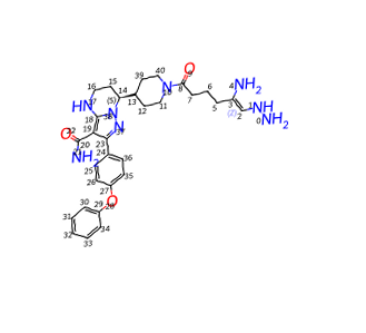 NN/C=C(\N)CCCC(=O)N1CCC([C@@H]2CCNc3c(C(N)=O)c(-c4ccc(Oc5ccccc5)cc4)nn32)CC1